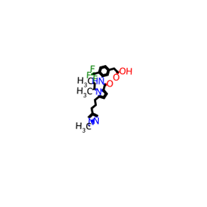 CC[C@H](C)n1c(CCCc2cnn(C)c2)ccc1C(=O)Nc1cc(CC(=O)O)ccc1C(F)(F)F